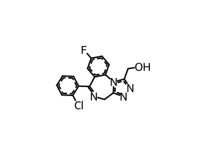 OCc1nnc2n1-c1ccc(F)cc1C(c1ccccc1Cl)=NC2